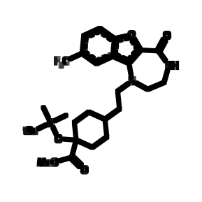 COC(=O)C1(O[Si](C)(C)C(C)(C)C)CCC(CCN2CCNC(=O)c3oc4ccc(C(F)(F)F)cc4c32)CC1